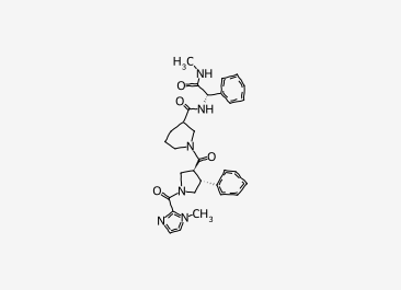 CNC(=O)[C@@H](NC(=O)C1CCCN(C(=O)[C@@H]2CN(C(=O)c3nccn3C)C[C@H]2c2ccccc2)C1)c1ccccc1